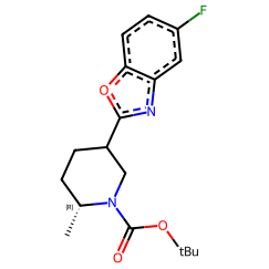 C[C@@H]1CCC(c2nc3cc(F)ccc3o2)CN1C(=O)OC(C)(C)C